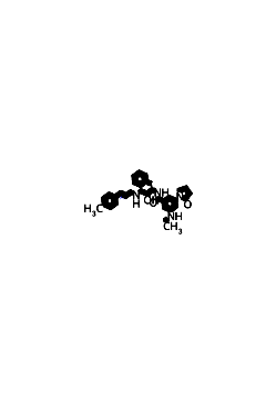 CCNc1cc(C(=O)N[C@@H](Cc2ccccc2)[C@@H](O)CNC/C=C/c2ccc(C)cc2)cc(N2CCCC2=O)c1